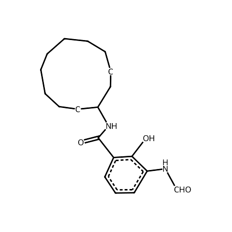 O=CNc1cccc(C(=O)NC2CCCCCCCCCC2)c1O